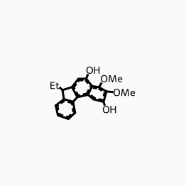 CCC1c2ccccc2-c2c1cc(O)c1c(OC)c(OC)c(O)cc21